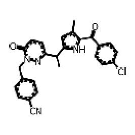 Cc1cc(C(C)c2ccc(=O)n(Cc3ccc(C#N)cc3)n2)[nH]c1C(=O)c1ccc(Cl)cc1